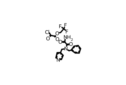 NC(=O)C(=O)N(Cc1ccccc1)Cc1ccncc1.O=C(Cl)C(=O)OCC(F)(F)F